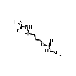 NNC(=O)OCCCNNC(N)=O